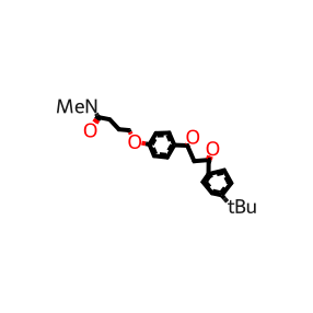 CNC(=O)CCCOc1ccc(C(=O)CC(=O)c2ccc(C(C)(C)C)cc2)cc1